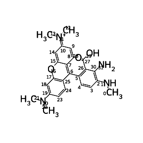 CNc1ccc(-c2c3ccc(=[N+](C)C)cc-3oc3cc(N(C)C)ccc23)c(C(=O)O)c1N